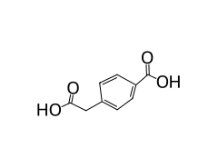 O=C(O)Cc1ccc(C(=O)O)cc1